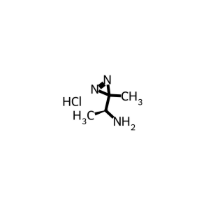 C[C@H](N)C1(C)N=N1.Cl